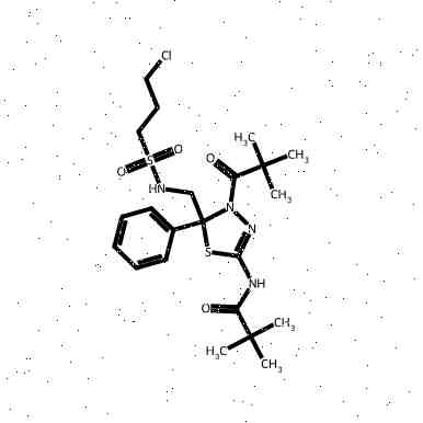 CC(C)(C)C(=O)NC1=NN(C(=O)C(C)(C)C)C(CNS(=O)(=O)CCCCl)(c2ccccc2)S1